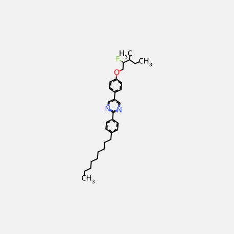 CCCCCCCCCc1ccc(-c2ncc(-c3ccc(OCC(F)C(C)CC)cc3)cn2)cc1